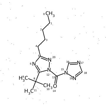 CCCCCc1nc(C(C)(C)C)n(C(=O)n2cncn2)n1